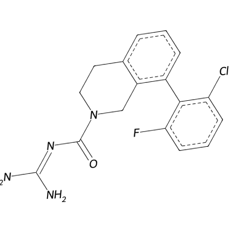 NC(N)=NC(=O)N1CCc2cccc(-c3c(F)cccc3Cl)c2C1